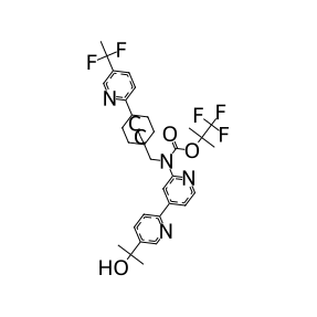 CC(C)(O)c1ccc(-c2ccnc(N(CC34CCC(c5ccc(C(C)(F)F)cn5)(CC3)CC4)C(=O)OC(C)(C)C(F)(F)F)c2)nc1